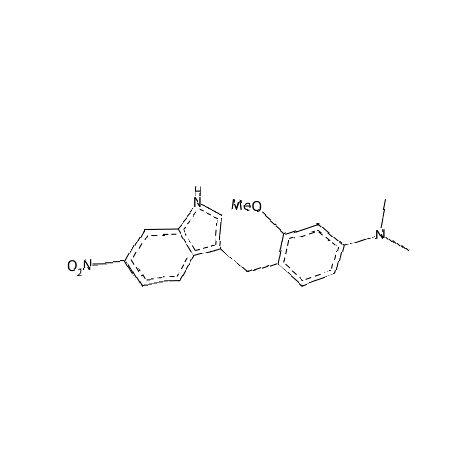 COc1cc(N(C)C)ccc1Cc1c[nH]c2cc([N+](=O)[O-])ccc12